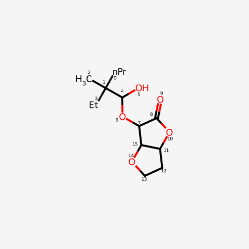 CCCC(C)(CC)C(O)OC1C(=O)OC2CCOC21